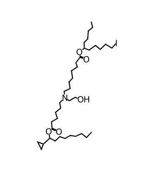 CCCCCCCCC(OC(=O)CCCCCN(CCO)CCCCCCCC(=O)OC(CCCCC)CCCCCI)C1CC1